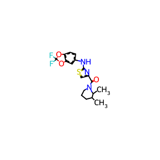 CC1CCCN(C(=O)c2csc(Nc3ccc4c(c3)OC(F)(F)O4)n2)C1C